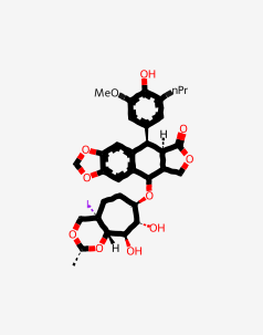 CCCc1cc([C@@H]2c3cc4c(cc3C(O[C@@H]3CC[C@]5(I)CO[C@@H](C)O[C@H]5[C@H](O)[C@H]3O)C3COC(=O)[C@@H]32)OCO4)cc(OC)c1O